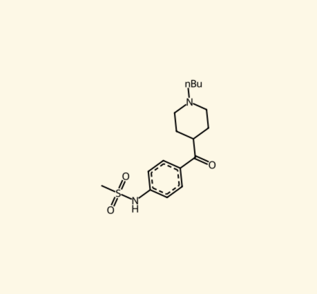 CCCCN1CCC(C(=O)c2ccc(NS(C)(=O)=O)cc2)CC1